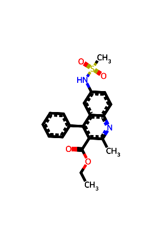 CCOC(=O)c1c(C)nc2ccc(NS(C)(=O)=O)cc2c1-c1ccccc1